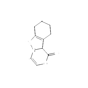 O=C1OC=CN2SC3=C(CCCC3)C12